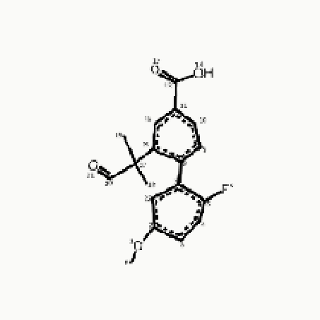 COc1ccc(F)c(-c2ccc(C(=O)O)cc2C(C)(C)C=O)c1